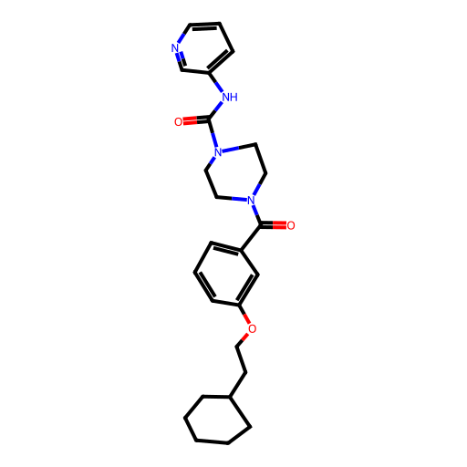 O=C(Nc1cccnc1)N1CCN(C(=O)c2cccc(OCCC3CCCCC3)c2)CC1